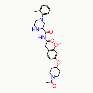 COc1cc(OC2CCN(C(C)=O)CC2)ccc1CC(=O)NC(=O)C1CN(c2ccccc2C)CCN1